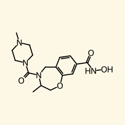 CC1COc2cc(C(=O)NO)ccc2CN1C(=O)N1CCN(C)CC1